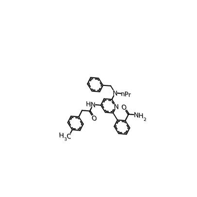 CCCN(Cc1ccccc1)c1cc(NC(=O)Cc2ccc(C)cc2)cc(-c2ccccc2C(N)=O)n1